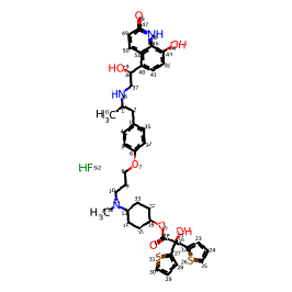 CC(Cc1ccc(OCCCN(C)C2CCC(OC(=O)C(O)(c3cccs3)c3cccs3)CC2)cc1)NC[C@@H](O)c1ccc(O)c2[nH]c(=O)ccc12.F